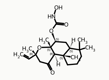 C=C[C@@]1(C)CC(=O)[C@@H]2[C@@]3(C)CCCC(C)(C)[C@@H]3C[C@H](OC(=O)NO)[C@@]2(C)O1